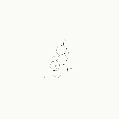 CC(C)[C@@H]1C[C@H]2CC(=O)CC[C@]2(C)[C@H]2CC[C@]3(C)[C@@H](O)CC[C@H]3[C@H]12